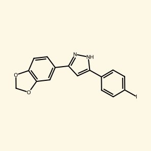 Ic1ccc(-c2cc(-c3ccc4c(c3)OCO4)n[nH]2)cc1